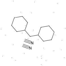 C#N.C#N.C1CCC(CC2CCCCC2)CC1